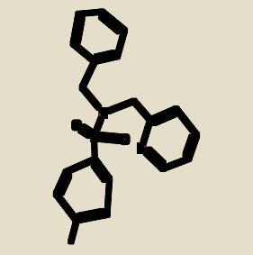 Cc1ccc(S(=O)(=O)N(Cc2ccccc2)Cc2ccccn2)cc1